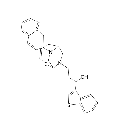 OC(CCN1CC2C/C=C\CC1CN2c1ccc2ccccc2c1)c1csc2ccccc12